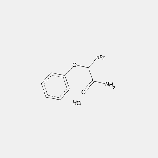 CCCC(Oc1ccccc1)C(N)=O.Cl